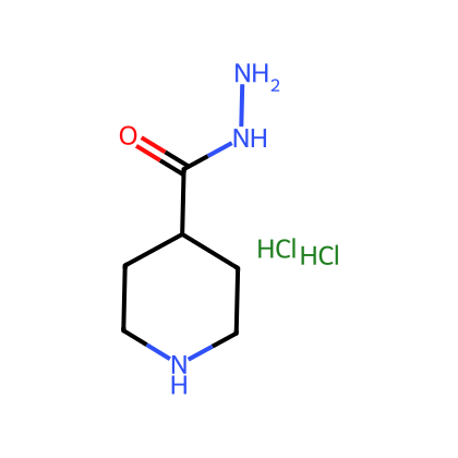 Cl.Cl.NNC(=O)C1CCNCC1